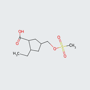 CCC1CC(COS(C)(=O)=O)CC1C(=O)O